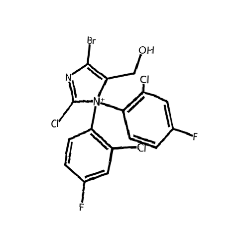 OCC1=C(Br)N=C(Cl)[N+]1(c1ccc(F)cc1Cl)c1ccc(F)cc1Cl